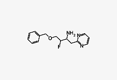 NC(Cc1ncccn1)C(F)COCc1ccccc1